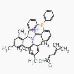 CC(C)=C[CH]=[Ru]([Cl])[Cl].Cc1cc(C)c(C2CNC(=C3CC=CC=C3P(c3ccccc3)c3ccccc3)N2c2c(C)cc(C)cc2C)c(C)c1